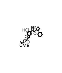 CO[C@@H](C)COC(=O)c1cc2cc(NC(=O)[C@H]3NCC[C@H]3C3CCCCC3)ccc2o1.Cl